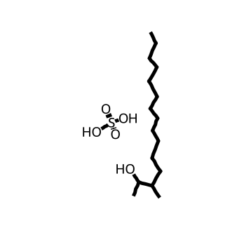 CCCCCCCCCCCCC(C)C(C)O.O=S(=O)(O)O